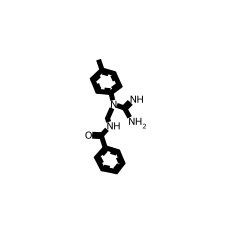 Cc1ccc(N(CNC(=O)c2ccccc2)C(=N)N)cc1